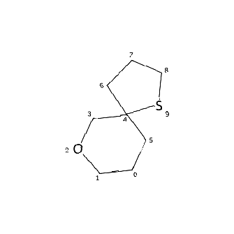 C1COCC2(C1)CCCS2